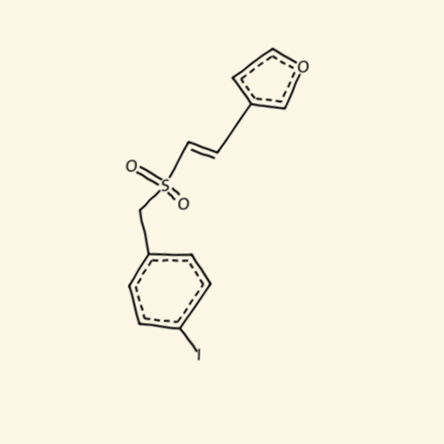 O=S(=O)(C=Cc1ccoc1)Cc1ccc(I)cc1